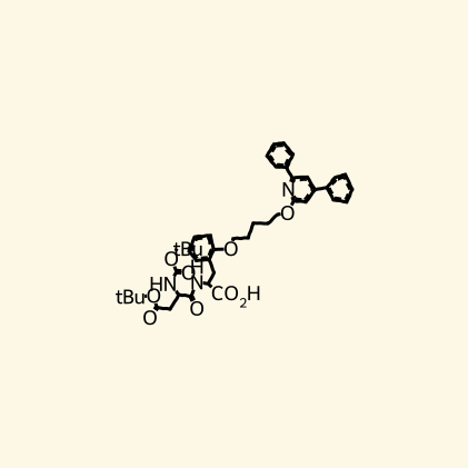 CC(C)(C)OC(=O)CC(NC(=O)OC(C)(C)C)C(=O)NC(Cc1ccccc1OCCCCCOc1cc(-c2ccccc2)cc(-c2ccccc2)n1)C(=O)O